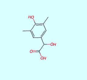 Cc1cc(C(O)C(=O)O)cc(C)c1O